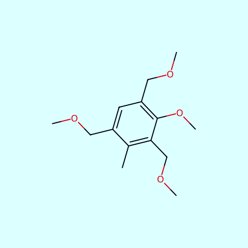 COCc1cc(COC)c(OC)c(COC)c1C